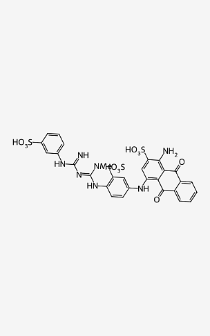 CN/C(=N\C(=N)Nc1cccc(S(=O)(=O)O)c1)Nc1ccc(Nc2cc(S(=O)(=O)O)c(N)c3c2C(=O)c2ccccc2C3=O)cc1S(=O)(=O)O